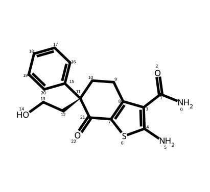 NC(=O)c1c(N)sc2c1CC[C@@](CCO)(c1ccccc1)C2=O